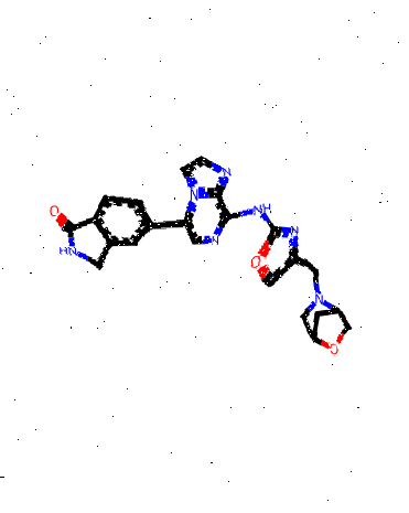 O=C1NCc2cc(-c3cnc(Nc4nc(CN5CC6CC5CO6)co4)c4nccn34)ccc21